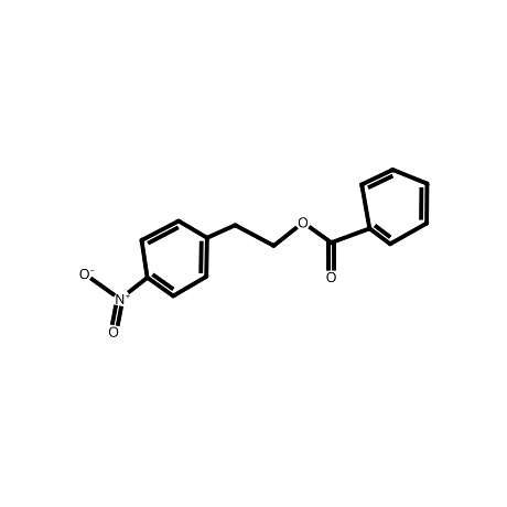 O=C(OCCc1ccc([N+](=O)[O-])cc1)c1ccccc1